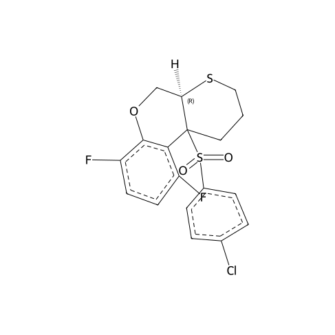 O=S(=O)(c1ccc(Cl)cc1)C12CCCS[C@@H]1COc1c(F)ccc(F)c12